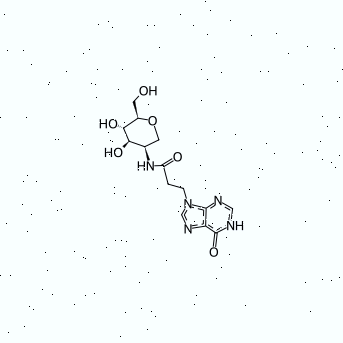 O=C(CCn1cnc2c(=O)[nH]cnc21)N[C@@H]1CO[C@H](CO)[C@@H](O)[C@@H]1O